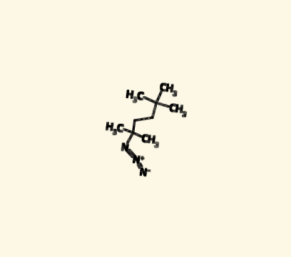 CC(C)(C)CCC(C)(C)N=[N+]=[N-]